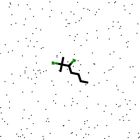 CCCCC(Br)C(C)(C)Br